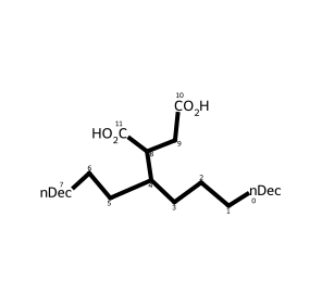 CCCCCCCCCCCCCC(CCCCCCCCCCCC)C(CC(=O)O)C(=O)O